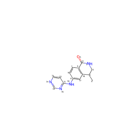 CC1CNC(=O)c2ccc(Nc3ccncn3)cc21